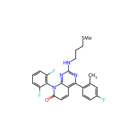 CSCCCNc1nc(-c2ccc(F)cc2C)c2ccc(=O)n(-c3c(F)cccc3F)c2n1